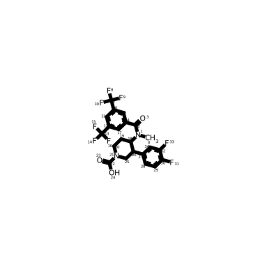 CN(C(=O)c1cc(C(F)(F)F)cc(C(F)(F)F)c1)C1CCN(C(=O)O)CC1c1ccc(F)c(F)c1